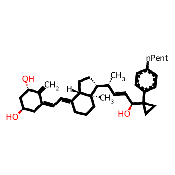 C=C1/C(=C\C=C2/CCC[C@]3(C)[C@@H]([C@H](C)/C=C/[C@H](O)C4(c5ccc(CCCCC)cc5)CC4)CC[C@@H]23)C[C@@H](O)C[C@@H]1O